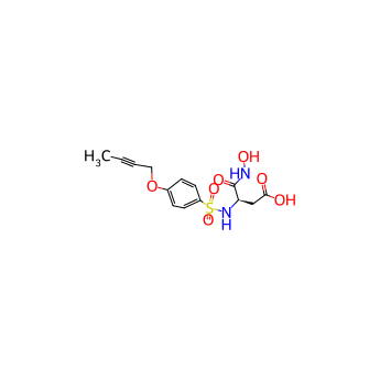 CC#CCOc1ccc(S(=O)(=O)N[C@H](CC(=O)O)C(=O)NO)cc1